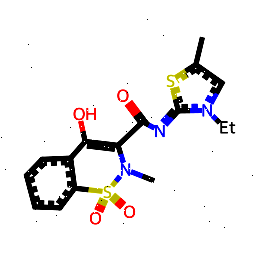 CCn1cc(C)sc1=NC(=O)C1=C(O)c2ccccc2S(=O)(=O)N1C